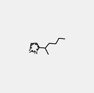 CCCCC(C)c1ccsn1